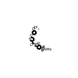 CNS(=O)(=O)c1ccc(CNC(=O)c2ccc(Oc3cccc(OC(F)(F)F)c3)nc2)c(Cl)c1